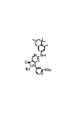 CCn1c(=O)c2cnc(Nc3cc(C)c4c(c3)CN(C)CC4(C)C)nc2n1-c1ccnc(C(C)(C)C)c1